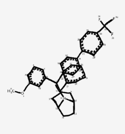 COc1cccc(C(=C2CC3CCC(C2)N3Cc2ccccc2)c2ccc(-c3ccc(C(F)(F)F)cc3)cc2)c1